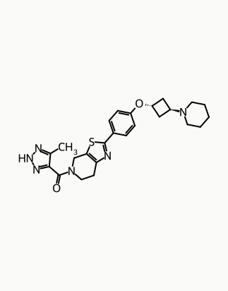 Cc1n[nH]nc1C(=O)N1CCc2nc(-c3ccc(O[C@H]4C[C@H](N5CCCCC5)C4)cc3)sc2C1